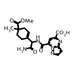 COC(=O)C1(C)CC=C(C(NC(=O)c2cc(C(=O)O)nc3ccnn23)C(N)=O)CC1